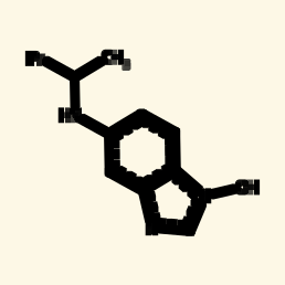 CC(C)C(C)Nc1ccc2c(c1)ncn2O